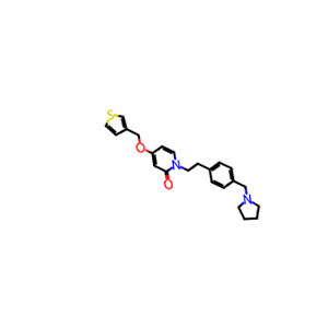 O=c1cc(OCc2ccsc2)ccn1CCc1ccc(CN2CCCC2)cc1